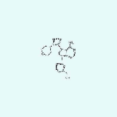 Nc1ncnn2c(-c3cccc(CO)c3)cc(-c3ccnn3C3CCOCC3)c12